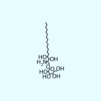 CCCCCCCCCCCCCCC(O)C(O)C(N)COC1OC(CO)C(O)C(O)C1O